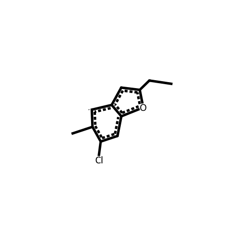 CCc1cc2[c]c(C)c(Cl)cc2o1